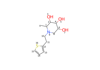 CC1C(O)C(O)C(O)CN1CCc1cccs1